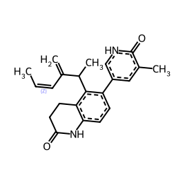 C=C(/C=C\C)C(C)c1c(-c2c[nH]c(=O)c(C)c2)ccc2c1CCC(=O)N2